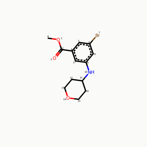 COC(=O)c1cc(Br)cc(NC2CCOCC2)c1